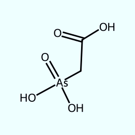 O=C(O)C[As](=O)(O)O